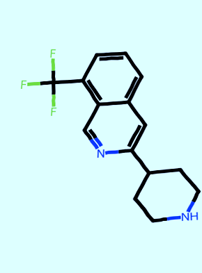 FC(F)(F)c1cccc2cc(C3CCNCC3)ncc12